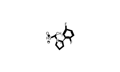 [CH2]C(N1CCC[C@@H]1c1cc(F)ccc1F)[SH](=O)=O